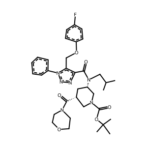 CC(C)CN(C(=O)c1nnn(-c2ccccc2)c1COc1ccc(F)cc1)[C@H]1C[C@@H](C(=O)N2CCOCC2)CN(C(=O)OC(C)(C)C)C1